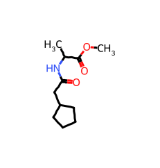 COC(=O)C(C)NC(=O)CC1CCCC1